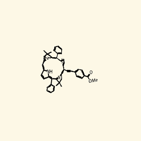 COC(=O)c1ccc(C#Cc2c3nc(c(-c4ccccc4)c4ccc(cc5nc(c(-c6ccccc6)c6ccc2[nH]6)C(C)(C)C5)[nH]4)C(C)(C)C3)cc1